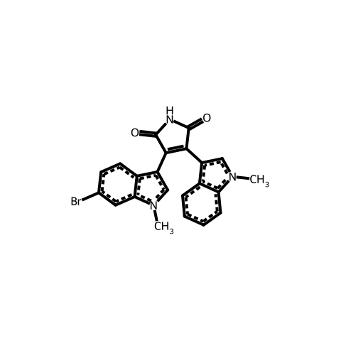 Cn1cc(C2=C(c3cn(C)c4cc(Br)ccc34)C(=O)NC2=O)c2ccccc21